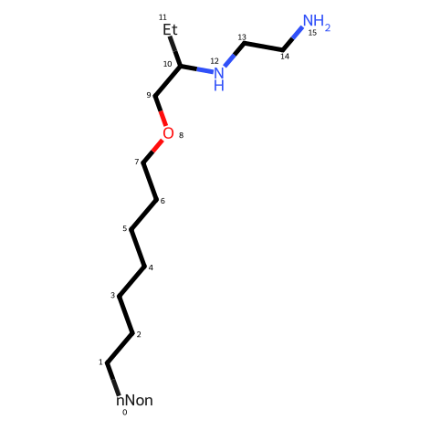 CCCCCCCCCCCCCCCCOCC(CC)NCCN